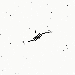 CC#[C][Zn+].[I-]